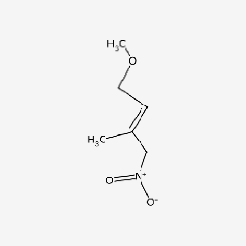 COC/C=C(\C)C[N+](=O)[O-]